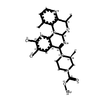 Cc1ccnc2c1N1c3nc(Cl)c(Cl)cc3C(N3CCN(C(=O)OC(C)(C)C)C[C@@H]3C)=NC1OC2C